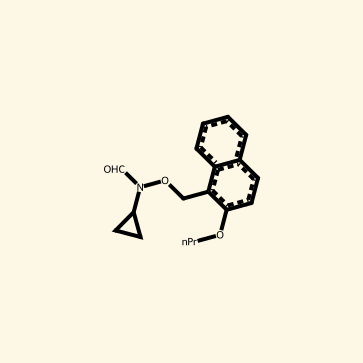 CCCOc1ccc2ccccc2c1CON(C=O)C1CC1